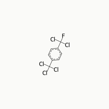 FC(Cl)(Cl)c1ccc(C(Cl)(Cl)Cl)cc1